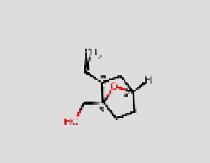 C=C[C@H]1C[C@@H]2CC[C@@]1(CO)O2